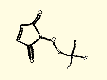 O=C1C=CC(=O)N1OSC(F)(F)F